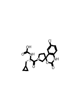 O=C(O)N[C@@H](CC1CC1)C(=O)N1CCC2(C1)OC(=O)Nc1ccc(Cl)cc12